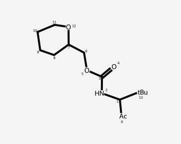 CC(=O)C(NC(=O)OCC1CCCCO1)C(C)(C)C